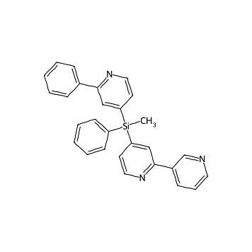 C[Si](c1ccccc1)(c1ccnc(-c2ccccc2)c1)c1ccnc(-c2cccnc2)c1